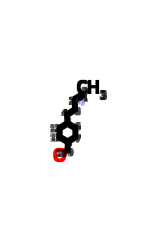 C/C=C/CCC1CCC(C=O)CC1